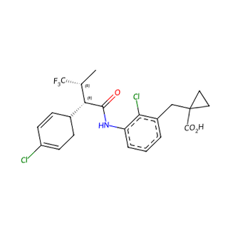 C[C@H]([C@H](C(=O)Nc1cccc(CC2(C(=O)O)CC2)c1Cl)C1C=CC(Cl)=CC1)C(F)(F)F